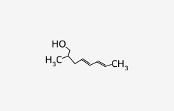 CC=CC=CCC(C)CO